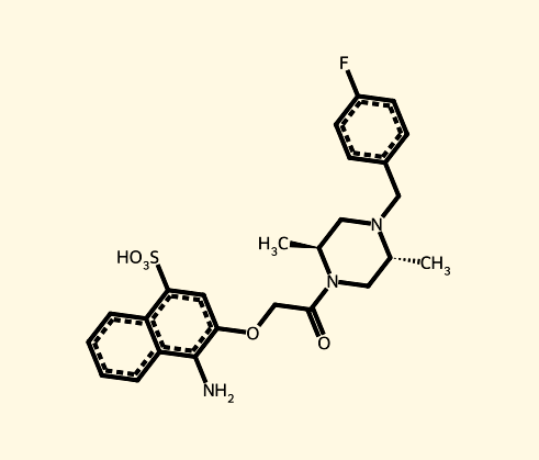 C[C@@H]1CN(C(=O)COc2cc(S(=O)(=O)O)c3ccccc3c2N)[C@@H](C)CN1Cc1ccc(F)cc1